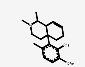 CC(=O)Oc1ccc(C)c(C23CCC=CC2C(C)N(C)CC3)c1O